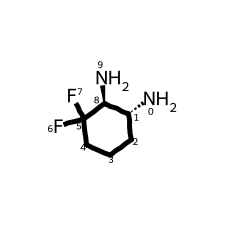 N[C@@H]1CCCC(F)(F)[C@H]1N